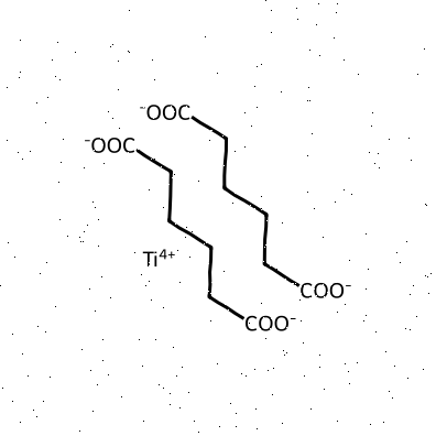 O=C([O-])CCCCC(=O)[O-].O=C([O-])CCCCC(=O)[O-].[Ti+4]